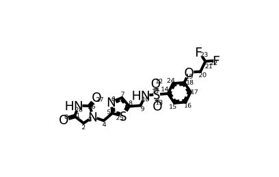 O=C1CN(Cc2ncc(CNS(=O)(=O)c3cccc(OCC(F)F)c3)s2)C(=O)N1